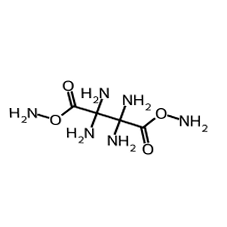 NOC(=O)C(N)(N)C(N)(N)C(=O)ON